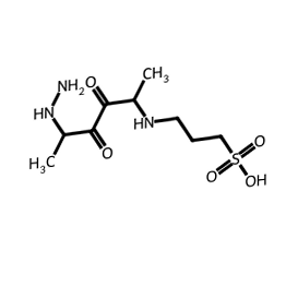 CC(NN)C(=O)C(=O)C(C)NCCCS(=O)(=O)O